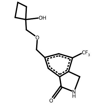 O=C1NCc2c1cc(COCC1(O)CCC1)cc2C(F)(F)F